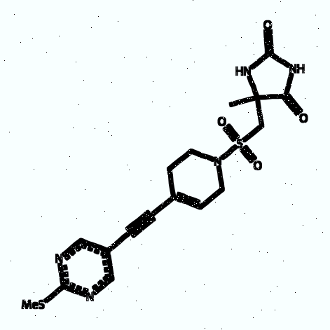 CSc1ncc(C#CC2=CCN(S(=O)(=O)CC3(C)NC(=O)NC3=O)CC2)cn1